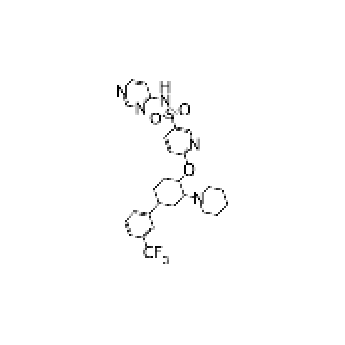 O=S(=O)(Nc1ccncn1)c1ccc(OC2CCC(c3cccc(C(F)(F)F)c3)CC2N2CCCCC2)nc1